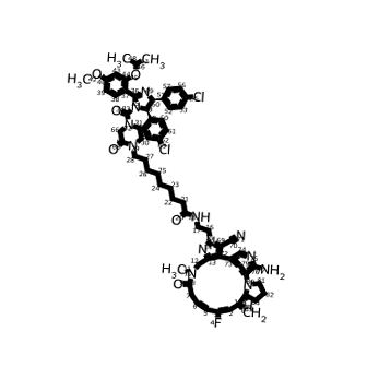 C=C1/C=C(F)\C=C/CC(=O)N(C)Cc2nn(CCNC(=O)CCCCCCCCN3CCN(C(=O)N4C(c5ccc(OC)cc5OC(C)C)=N[C@@H](c5ccc(Cl)cc5)[C@H]4c4ccc(Cl)cc4)CC3=O)c(C#N)c2-c2cnc(N)c(c2)N2CCC[C@H]12